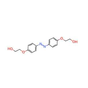 OCCOc1ccc(N=Nc2ccc(OCCO)cc2)cc1